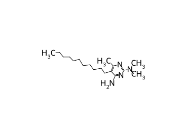 CCCCCCCCCCCc1c(C)nc(N(C)C)nc1N